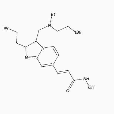 CCN(CCC(C)(C)C)CC1C(CCC(C)C)N=C2C=C(/C=C/C(=O)NO)C=CN21